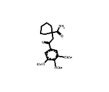 COc1cc(C(=O)CC2(C(N)=O)CCCCC2)cc(OC)c1OC